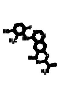 CCC(Oc1cc2ncnc(Nc3c(F)ccc(O)c3C)c2cc1OC)C(N)=O